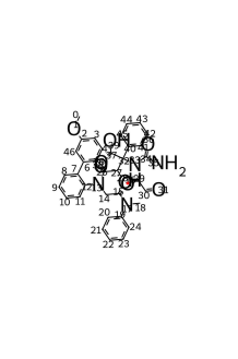 COc1cccc(-c2ccccc2N(CC(=O)N(C)c2ccccc2)C(=O)C(OCC=O)C(NC(N)=O)(C(=O)O)c2ccccc2)c1